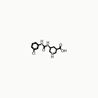 O=C(Nc1cccc(Cl)c1)NC1CNCC(C(=O)O)C1